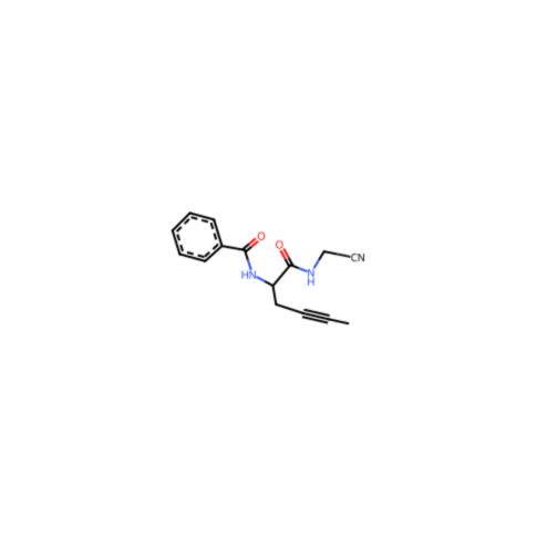 CC#CCC(NC(=O)c1ccccc1)C(=O)NCC#N